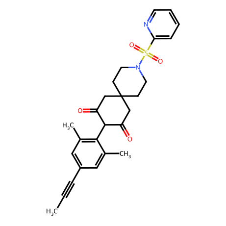 CC#Cc1cc(C)c(C2C(=O)CC3(CCN(S(=O)(=O)c4ccccn4)CC3)CC2=O)c(C)c1